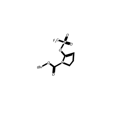 CC(C)(C)OC(=O)N1CCC=C1OS(=O)(=O)C(F)(F)F